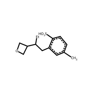 CCC(Cc1cc(C)ccc1S(=O)(=O)O)C1COC1